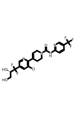 O=C(Nc1ccc(C(F)(F)F)cn1)N1CC=C(c2ncc(C(F)(F)[C@@H](O)CO)cc2Cl)CC1